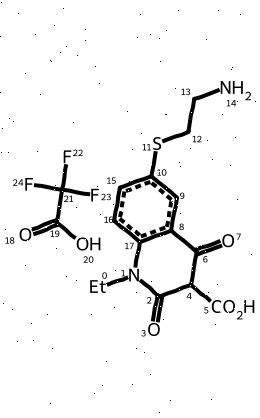 CCN1C(=O)C(C(=O)O)C(=O)c2cc(SCCN)ccc21.O=C(O)C(F)(F)F